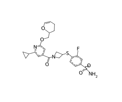 NS(=O)(=O)c1ccc(SC2CN(C(=O)c3cc(OCC4CCC=CO4)nc(C4CC4)c3)C2)c(F)c1